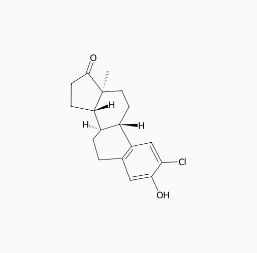 C[C@]12CC[C@@H]3c4cc(Cl)c(O)cc4CC[C@H]3[C@@H]1CCC2=O